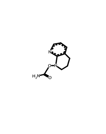 NC(=O)ON1CCCc2cccnc21